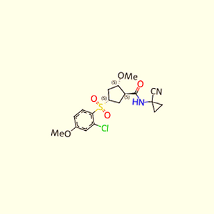 COc1ccc(S(=O)(=O)[C@@H]2C[C@H](OC)[C@@H](C(=O)NC3(C#N)CC3)C2)c(Cl)c1